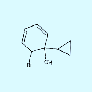 OC1(C2CC2)C=CC=CC1Br